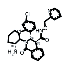 N[C@@H]1CCCCC1N1C(=O)c2ccccc2[C@H](C(=O)NOCc2ccccn2)[C@H]1c1ccc(Cl)cc1Cl